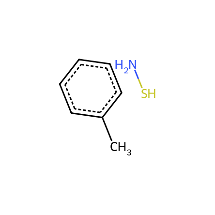 Cc1ccccc1.NS